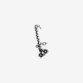 CCCCCCCCCCCCCCCC(=O)OCN1CC2c3ccccc3Oc3ccccc3C2C1.Cl